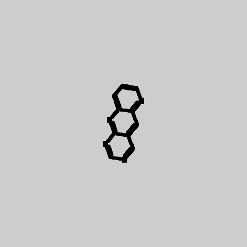 c1cnc2cc3cncnc3nc2c1